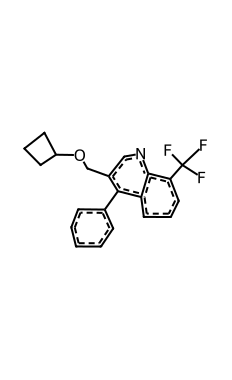 FC(F)(F)c1cccc2c(-c3ccccc3)c(COC3CCC3)cnc12